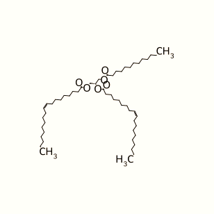 CCCCCCCCC/C=C\CCCCCCCC(=O)OC[C@@H](COC(=O)CCCCCCCCCCCC)OC(=O)CCCCCCC/C=C\CCCCCCCCC